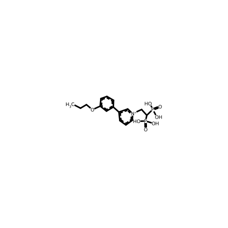 CCCOc1cccc(-c2ccc[n+](CC(P(=O)(O)O)P(=O)(O)O)c2)c1